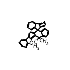 CC1(C)c2ccccc2C2(c3ccccc3-c3ccccc32)c2ccc3c(oc4ccccc43)c21